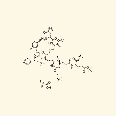 CC(C)(C)OC(=O)CC[C@@H](NC(=O)CCNC(=O)[C@H](CCN(C(=O)CSC[C@H](NC(=O)[C@@H](N)CC(N)=O)C(=O)OC(C)(C)C)[C@@H](c1cc(-c2cc(F)ccc2F)cn1Cc1ccccc1)C(C)(C)C)NC(=O)OCC[Si](C)(C)C)C(=O)OC(C)(C)C.O=C(O)C(F)(F)F